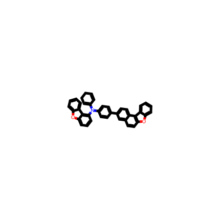 C1=CC(N(c2ccc(-c3ccc4c(ccc5oc6ccccc6c54)c3)cc2)c2cccc3oc4ccccc4c23)=CCC1